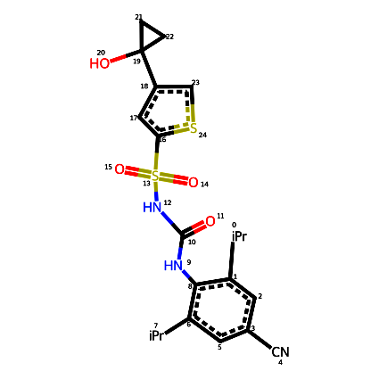 CC(C)c1cc(C#N)cc(C(C)C)c1NC(=O)NS(=O)(=O)c1cc(C2(O)CC2)cs1